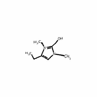 CCc1cn(C)c(O)[n+]1C